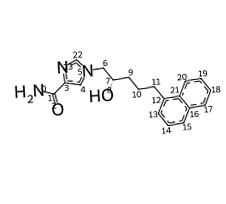 NC(=O)c1cn(C[C@@H](O)CCCc2cccc3ccccc23)cn1